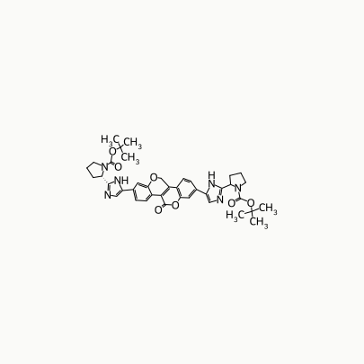 CC(C)(C)OC(=O)N1CCCC1c1ncc(-c2ccc3c4c(c(=O)oc3c2)-c2ccc(-c3cnc([C@@H]5CCCN5C(=O)OC(C)(C)C)[nH]3)cc2OC4)[nH]1